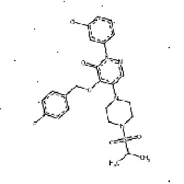 CC(C)S(=O)(=O)N1CCN(c2cnn(-c3cccc(Cl)c3)c(=O)c2OCc2ccc(F)cc2)CC1